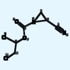 N#CC1CN1C(=O)OC(Cl)CCl